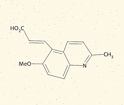 COc1ccc2nc(C)ccc2c1/C=C/C(=O)O